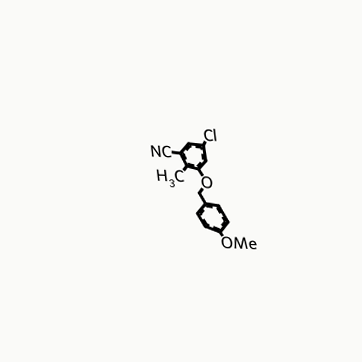 COc1ccc(COc2cc(Cl)cc(C#N)c2C)cc1